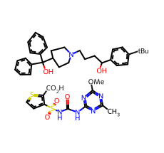 CC(C)(C)c1ccc(C(O)CCCN2CCC(C(O)(c3ccccc3)c3ccccc3)CC2)cc1.COc1nc(C)nc(NC(=O)NS(=O)(=O)c2ccsc2C(=O)O)n1